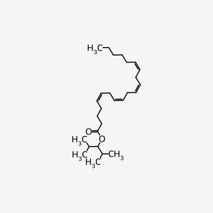 CCCCC/C=C\C/C=C\C/C=C\C/C=C\CCCC(=O)OC(C(C)C)C(C)C